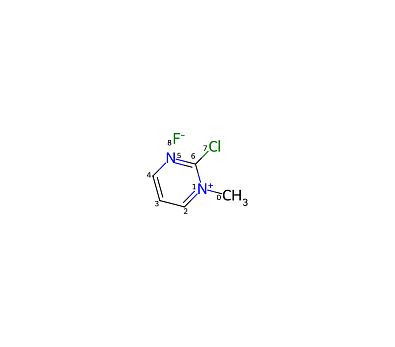 C[n+]1cccnc1Cl.[F-]